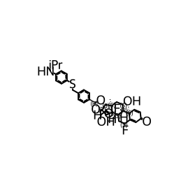 CC(C)Nc1ccc(SCc2ccc([C@@H]3O[C@@H]4C[C@H]5[C@@H]6C[C@H](F)C7=CC(=O)C=C[C@]7(C)[C@@]6(F)[C@@H](O)C[C@]5(C)[C@]4(C(=O)CO)O3)cc2)cc1